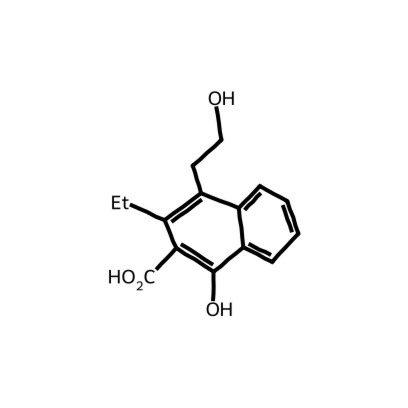 CCc1c(C(=O)O)c(O)c2ccccc2c1CCO